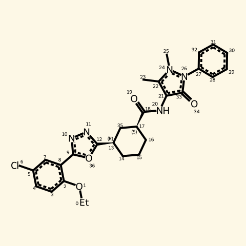 CCOc1ccc(Cl)cc1-c1nnc([C@@H]2CCC[C@H](C(=O)Nc3c(C)n(C)n(-c4ccccc4)c3=O)C2)o1